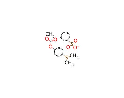 COC(=O)Oc1ccc([S+](C)C)cc1.O=S(=O)([O-])c1ccccc1